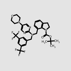 CC(C)(C)OC(=O)N1CCc2cccc(CN(Cc3cc(C(F)(F)F)cc(C(F)(F)F)c3)c3ncc(N4CCOCC4)cn3)c21